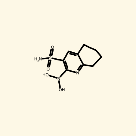 NS(=O)(=O)c1cc2c(nc1B(O)O)CCCC2